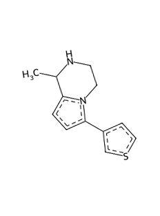 CC1NCCn2c(-c3ccsc3)ccc21